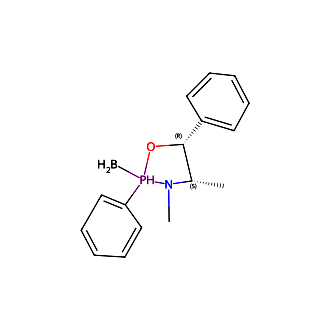 B[PH]1(c2ccccc2)O[C@H](c2ccccc2)[C@H](C)N1C